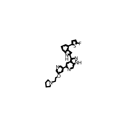 Fc1ccc(-c2cccc3[nH]c(-c4n[nH]c5cnc(-c6cncc(OCCN7CCCC7)c6)cc45)cc23)s1